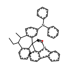 CCC1c2ccccc2C2(c3cc(N(c4ccccc4)c4ccccc4)ccc3C1C)c1ccccc1-n1c3ccccc3c3cccc2c31